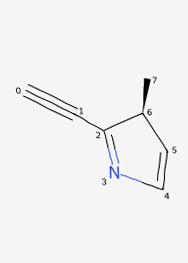 C#CC1=NC=C[C@@H]1C